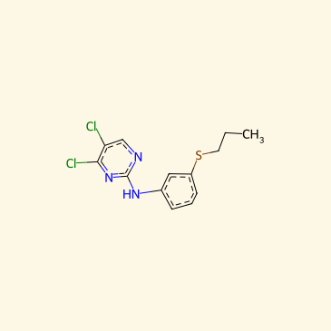 CCCSc1cccc(Nc2ncc(Cl)c(Cl)n2)c1